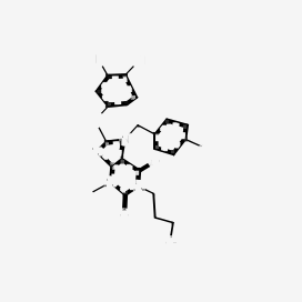 Cn1c(=O)n(CCCO)c(=O)c2c1nc(Oc1ccc(Cl)c(F)c1)n2Cc1ccc(Cl)cc1